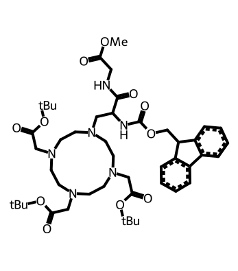 COC(=O)CNC(=O)C(CN1CCN(CC(=O)OC(C)(C)C)CCN(CC(=O)OC(C)(C)C)CCN(CC(=O)OC(C)(C)C)CC1)NC(=O)OCC1c2ccccc2-c2ccccc21